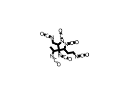 CC(N=C=O)C(N=C=O)(C(CCN=C=O)N=C=O)C(CN=C=O)N=C=O